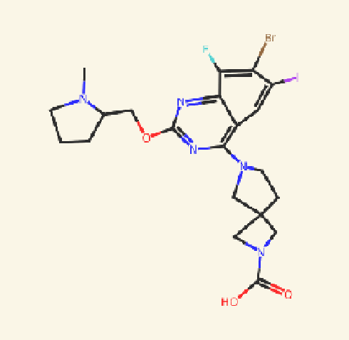 CN1CCCC1COc1nc(N2CCC3(CN(C(=O)O)C3)C2)c2cc(I)c(Br)c(F)c2n1